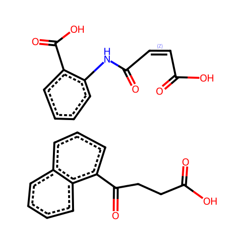 O=C(O)/C=C\C(=O)Nc1ccccc1C(=O)O.O=C(O)CCC(=O)c1cccc2ccccc12